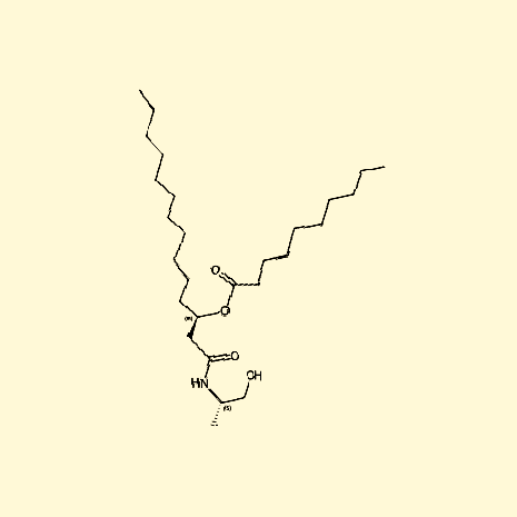 [CH2][C@@H](CO)NC(=O)C[C@@H](CCCCCCCCCCC)OC(=O)CCCCCCCCC